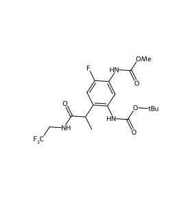 COC(=O)Nc1cc(NC(=O)OC(C)(C)C)c(C(C)C(=O)NCC(F)(F)F)cc1F